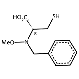 CON(Cc1ccccc1)[C@@H](CS)C(=O)O